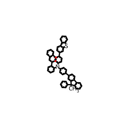 CC1(c2ccccc2)c2ccccc2-c2ccc(-c3ccc(N(c4ccc(-c5ccc6c(c5)sc5ccccc56)cc4)c4ccccc4-c4ccc5ccccc5c4)cc3)cc21